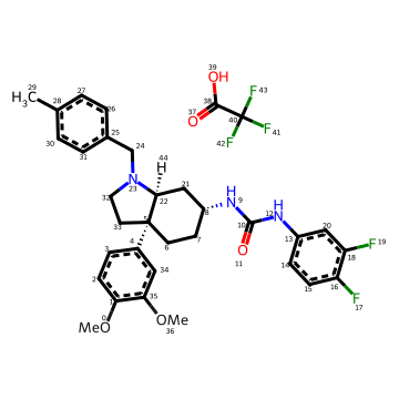 COc1ccc([C@@]23CC[C@@H](NC(=O)Nc4ccc(F)c(F)c4)C[C@@H]2N(Cc2ccc(C)cc2)CC3)cc1OC.O=C(O)C(F)(F)F